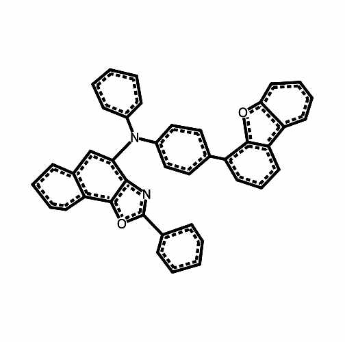 c1ccc(-c2nc3c(N(c4ccccc4)c4ccc(-c5cccc6c5oc5ccccc56)cc4)cc4ccccc4c3o2)cc1